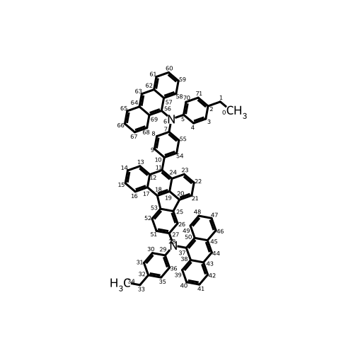 CCc1ccc(N(c2ccc(-c3c4ccccc4c4c5c(cccc35)-c3cc(N(c5ccc(CC)cc5)c5c6ccccc6cc6ccccc56)ccc3-4)cc2)c2c3ccccc3cc3ccccc23)cc1